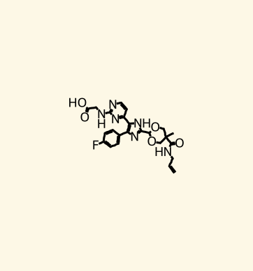 C=CCNC(=O)C1(C)COC(c2nc(-c3ccc(F)cc3)c(-c3ccnc(NCC(=O)O)n3)[nH]2)OC1